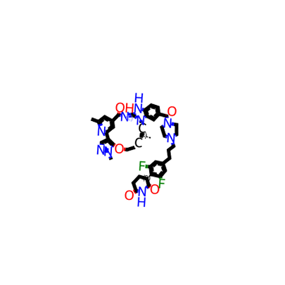 Cc1cc2cc(n1)-c1cnn(C)c1OCCC[C@@H](C)CN1/C(=N/C2O)Nc2ccc(C(=O)N3CCN(CCCc4cc(F)c([C@H]5CCC(=O)NC5=O)c(F)c4)CC3)cc21